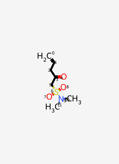 C=CCC(=O)CS(=O)(=O)N(C)C